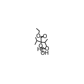 CCOC(=O)C(O[PH](=O)O)(C(C)C)C(C)C